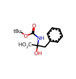 CC(C)(C)OC(=O)NC(O)(Cc1ccccc1)C(=O)O